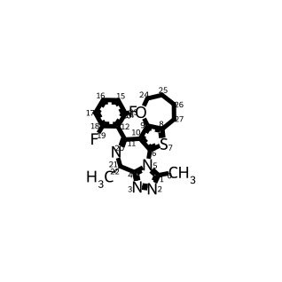 Cc1nnc2n1-c1sc3c(c1C(c1c(F)cccc1F)=N[C@H]2C)OCCCC3